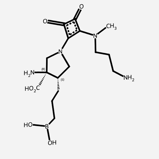 CN(CCCN)c1c(N2C[C@H](CCCB(O)O)[C@](N)(C(=O)O)C2)c(=O)c1=O